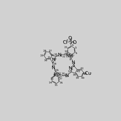 O=S(=O)(Cl)c1ccc2c3nc4nc(nc5[nH]c(nc6nc(nc([nH]3)c2c1)-c1ccccc1-6)c1ccccc51)-c1ccccc1-4.[Cu]